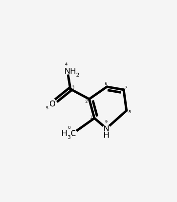 CC1=C(C(N)=O)C=CCN1